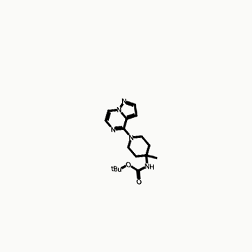 CC1(NC(=O)OC(C)(C)C)CCN(c2nccn3nccc23)CC1